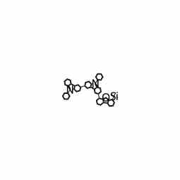 C[Si](C)(C)c1cccc2c1oc1c(-c3ccc4c(c3)c3cc(-c5ccc6c(c5)c5ccccc5n6-c5ccccc5)ccc3n4-c3ccccc3)cccc12